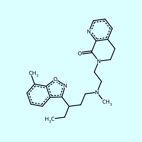 CCC(CCN(C)CCN1CCc2cccnc2C1=O)c1noc2c(C)cccc12